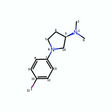 CN(C)[C@@H]1CCN(c2ccc(I)cc2)C1